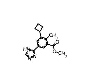 COC(=O)c1cc(-c2nnc[nH]2)cc(C2CCC2)c1C